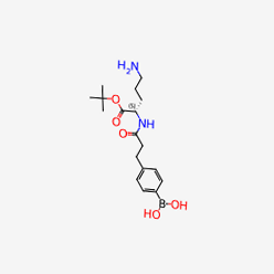 CC(C)(C)OC(=O)[C@H](CCCN)NC(=O)CCc1ccc(B(O)O)cc1